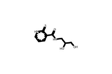 O=C(NCC(O)CO)c1ccc[nH]c1=S